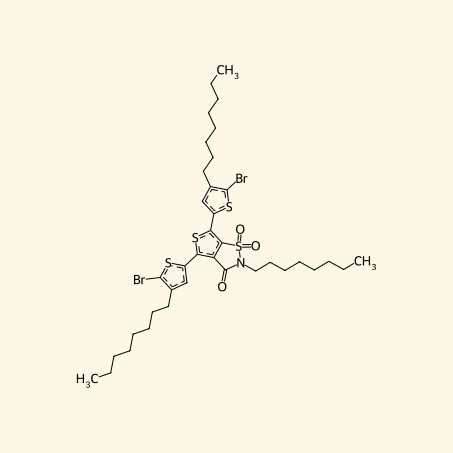 CCCCCCCCc1cc(-c2sc(-c3cc(CCCCCCCC)c(Br)s3)c3c2C(=O)N(CCCCCCCC)S3(=O)=O)sc1Br